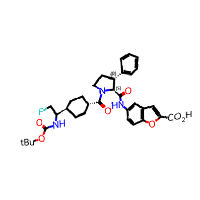 CC(C)(C)OC(=O)NC(CF)[C@H]1CC[C@H](C(=O)N2CC[C@H](c3ccccc3)[C@H]2C(=O)Nc2ccc3oc(C(=O)O)cc3c2)CC1